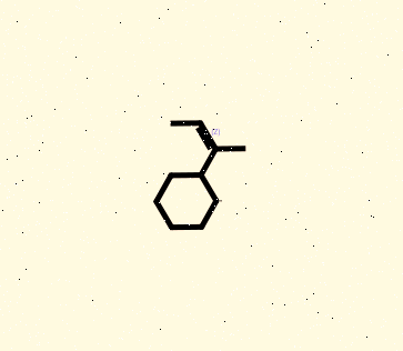 C/C=C(/C)C1[CH]CCCC1